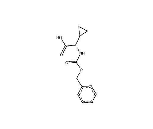 O=C(N[C@H](C(=O)O)C1CC1)OCc1ccccc1